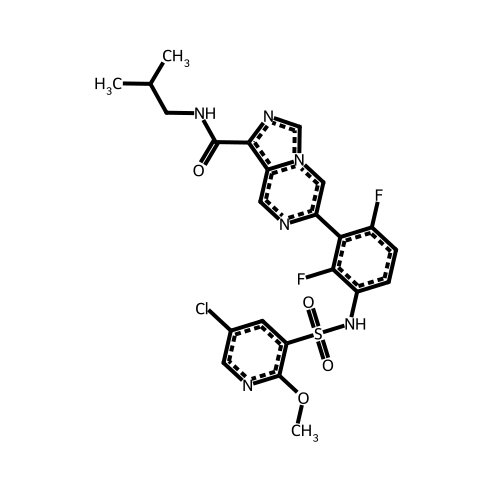 COc1ncc(Cl)cc1S(=O)(=O)Nc1ccc(F)c(-c2cn3cnc(C(=O)NCC(C)C)c3cn2)c1F